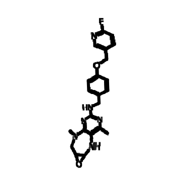 Cc1nc(NCc2ccc(OCc3ccc(F)nc3)cc2)nc2c1NC1OC1CN2C